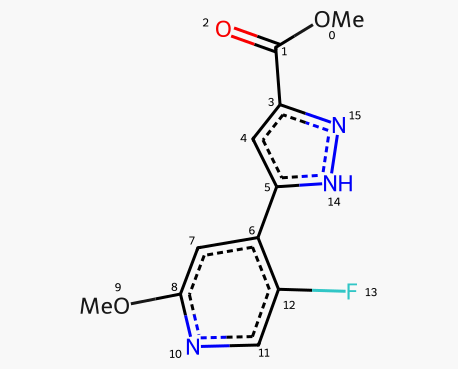 COC(=O)c1cc(-c2cc(OC)ncc2F)[nH]n1